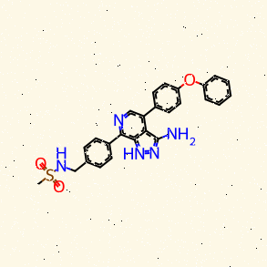 CS(=O)(=O)NCc1ccc(-c2ncc(-c3ccc(Oc4ccccc4)cc3)c3c(N)n[nH]c23)cc1